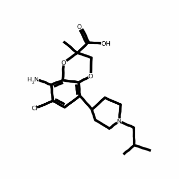 CC(C)CN1CCC(c2cc(Cl)c(N)c3c2OCC(C)(C(=O)O)O3)CC1